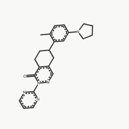 Cc1ccc(N2CCCC2)cc1C1CCc2c(cnn(-c3ncccn3)c2=O)C1